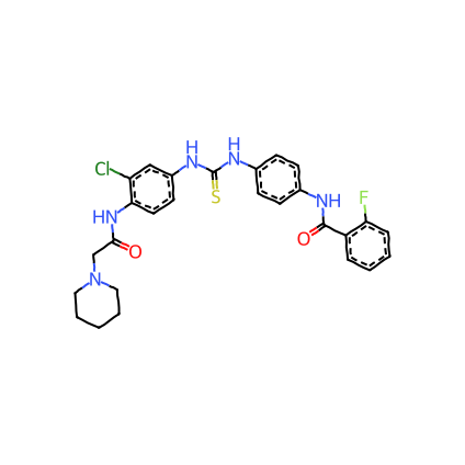 O=C(CN1CCCCC1)Nc1ccc(NC(=S)Nc2ccc(NC(=O)c3ccccc3F)cc2)cc1Cl